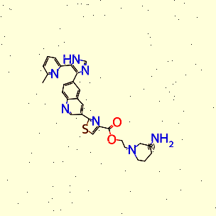 Cc1cccc(-c2[nH]cnc2-c2ccc3ncc(-c4nc(C(=O)OCCN5CCC[C@@H](N)C5)cs4)cc3c2)n1